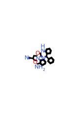 N#CC1CC[N+](c2ccccc2C(N)=O)(C2N=C(c3ccccc3)c3ccccc3NC2=O)CC1